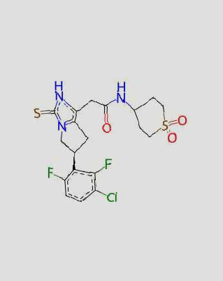 O=C(Cc1[nH]c(=S)n2c1C[C@@H](c1c(F)ccc(Cl)c1F)C2)NC1CCS(=O)(=O)CC1